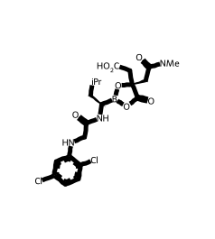 CNC(=O)C[C@]1(CC(=O)O)OB([C@H](CC(C)C)NC(=O)CNc2cc(Cl)ccc2Cl)OC1=O